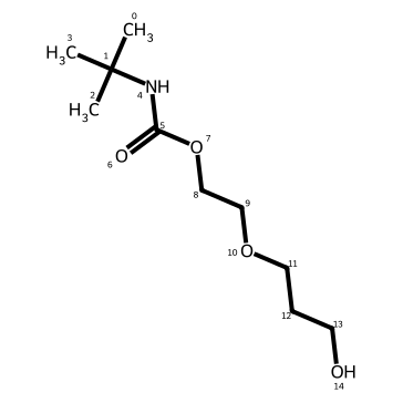 CC(C)(C)NC(=O)OCCOCCCO